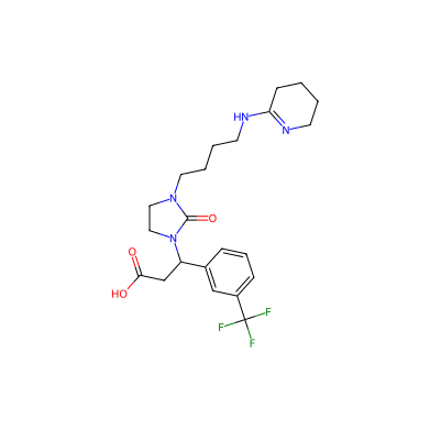 O=C(O)CC(c1cccc(C(F)(F)F)c1)N1CCN(CCCCNC2=NCCCC2)C1=O